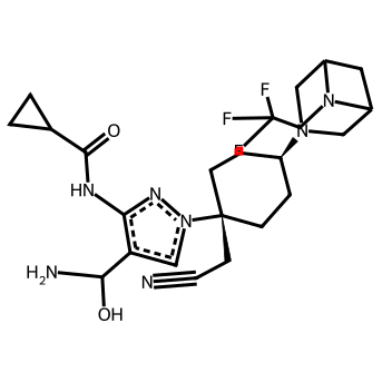 N#CC[C@]1(n2cc(C(N)O)c(NC(=O)C3CC3)n2)CC[C@H](N2CC3CC(C2)N3CC(F)(F)F)CC1